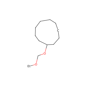 CCOCOC1CCCCCCCCC1